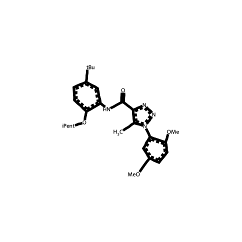 CCCC(C)Oc1ccc(C(C)(C)C)cc1NC(=O)c1nnn(-c2cc(OC)ccc2OC)c1C